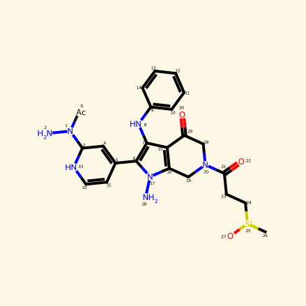 CC(=O)N(N)C1C=C(c2c(Nc3ccccc3)c3c(n2N)CN(C(=O)CC[S+](C)[O-])CC3=O)C=CN1